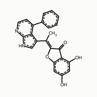 C/C(=C1/Oc2cc(O)cc(O)c2C1=O)c1c[nH]c2nccc(-c3ccccc3)c12